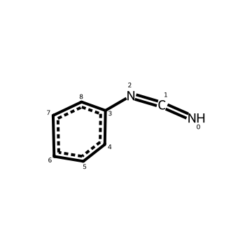 N=C=Nc1ccccc1